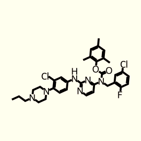 CCCN1CCN(c2ccc(Nc3nccc(N(Cc4cc(Cl)ccc4F)C(=O)Oc4c(C)cc(C)cc4C)n3)cc2Cl)CC1